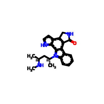 CN[C@@H](C)C[C@@H](C)n1c2ccccc2c2c3c(c4cc[nH]c4c21)CNC3=O